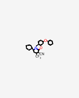 N#Cc1c(C(F)(F)F)cc(-c2ccccc2)n(Cc2ccc(Oc3ccccc3)cc2)c1=O